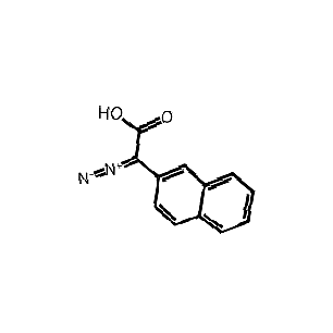 [N-]=[N+]=C(C(=O)O)c1ccc2ccccc2c1